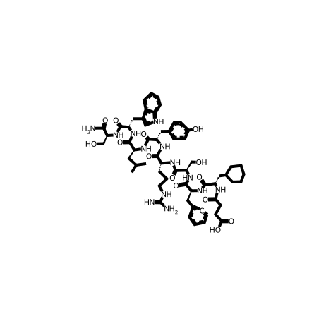 CC(C)C[C@H](NC(=O)[C@H](Cc1ccc(O)cc1)NC(=O)[C@@H](CCCNC(=N)N)NC(=O)[C@@H](CO)NC(=O)[C@H](Cc1ccccc1)NC(=O)[C@H](CC1CCCCC1)NC(=O)CCC(=O)O)C(=O)N[C@@H](Cc1c[nH]c2ccccc12)C(=O)N[C@@H](CO)C(N)=O